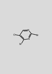 Clc1cnc(Br)nc1Br